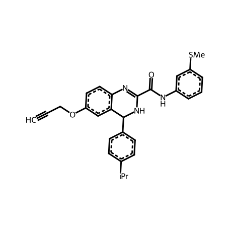 C#CCOc1ccc2c(c1)C(c1ccc(C(C)C)cc1)NC(C(=O)Nc1cccc(SC)c1)=N2